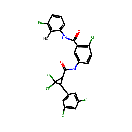 N#Cc1c(F)cccc1NC(=O)c1cc(NC(=O)C2C(c3cc(Cl)cc(Cl)c3)C2(Cl)Cl)ccc1Cl